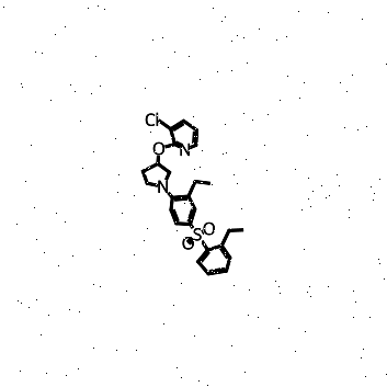 CCc1cc(S(=O)(=O)c2ccccc2CC)ccc1N1CCC(Oc2ncccc2Cl)C1